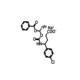 CCCC(OC(=O)NC(CCC(=O)[O-])c1ccc(Cl)cc1)OC(=O)c1ccccc1.[Na+]